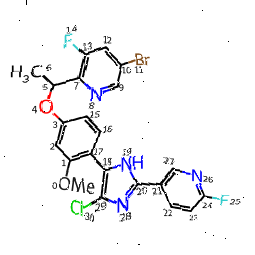 COc1cc(OC(C)c2ncc(Br)cc2F)ccc1-c1[nH]c(-c2ccc(F)nc2)nc1Cl